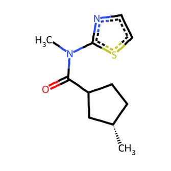 C[C@H]1CCC(C(=O)N(C)c2nccs2)C1